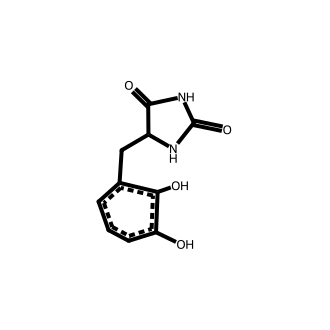 O=C1NC(=O)C(Cc2cccc(O)c2O)N1